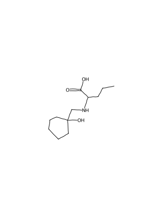 CCCC(NCC1(O)CCCCC1)C(=O)O